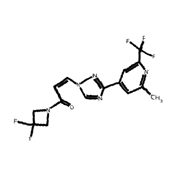 Cc1cc(-c2ncn(/C=C\C(=O)N3CC(F)(F)C3)n2)cc(C(F)(F)F)n1